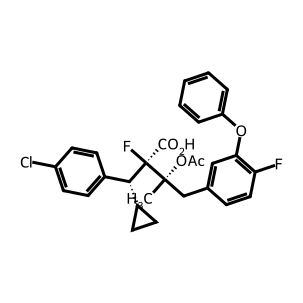 CC(=O)O[C@@](C)(Cc1ccc(F)c(Oc2ccccc2)c1)[C@@](F)(C(=O)O)[C@@H](c1ccc(Cl)cc1)C1CC1